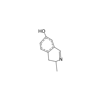 CC1Cc2ccc(O)cc2C=N1